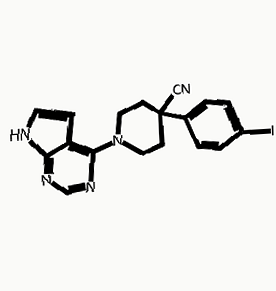 N#CC1(c2ccc(I)cc2)CCN(c2ncnc3[nH]ccc23)CC1